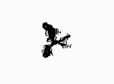 COCCOCCOCCN(CCCC(=O)O)c1cc(COc2cc3c(cc2OC)C(=O)N2c4ccccc4C[C@H]2C=N3)cc(COc2cc3c(cc2OC)C(=O)N2c4ccccc4CC2CN3)c1